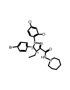 CC[C@@H]1C(C(=O)NN2CCCCCC2)=NN(c2ccc(Cl)cc2Cl)[C@@H]1c1ccc(Br)cc1